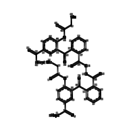 CCCCCCCC(=O)c1ccc(OC(=O)CC(C)(C)C)c(C(=O)c2ccccc2C(=O)OOC(=O)c2ccccc2C(=O)c2cc(C(=O)CCCCCCC)ccc2OC(=O)CC(C)(C)C)c1